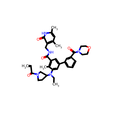 C=CC(=O)N1CCC(N(CC)c2cc(-c3cccc(C(=O)N4CCOCC4)c3)cc(C(=O)NCc3c(C)cc(C)[nH]c3=O)c2C)C1